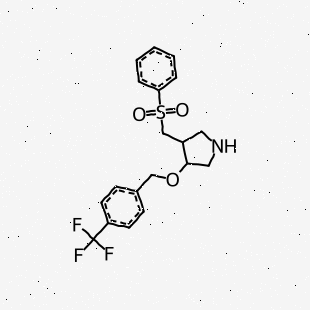 O=S(=O)(CC1CNCC1OCc1ccc(C(F)(F)F)cc1)c1ccccc1